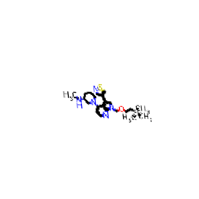 CN[C@H]1CCCN(c2ccnc3c2c(-c2cnsc2)cn3COCC[Si](C)(C)C)C1